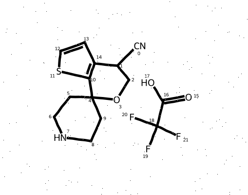 N#CC1COC2(CCNCC2)c2sccc21.O=C(O)C(F)(F)F